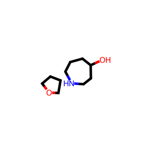 C1CCOC1.OC1CCCNCC1